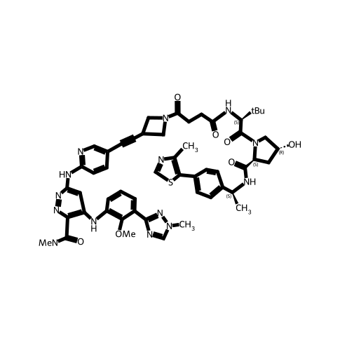 CNC(=O)c1nnc(Nc2ccc(C#CC3CN(C(=O)CCC(=O)N[C@H](C(=O)N4C[C@H](O)C[C@H]4C(=O)N[C@@H](C)c4ccc(-c5scnc5C)cc4)C(C)(C)C)C3)cn2)cc1Nc1cccc(-c2ncn(C)n2)c1OC